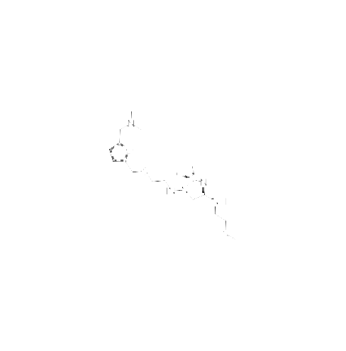 CSCCNC1=NS(=O)(=O)N(NCCSCc2ccc(CN(C)C)o2)C1